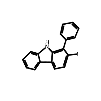 Ic1ccc2c([nH]c3ccccc32)c1-c1ccccc1